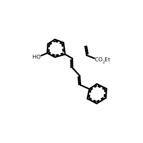 C=CC(=O)OCC.Oc1cccc(C=CC=Cc2ccccc2)c1